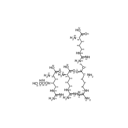 COC(=O)[C@H](N)CCCNC(=N)N.Cl.Cl.Cl.Cl.N=C(N)NCCC[C@@H](N)C(=O)O.N=C(N)NCCC[C@H](N)C(=O)O.N=C(N)NCCC[C@H](N)C(=O)O